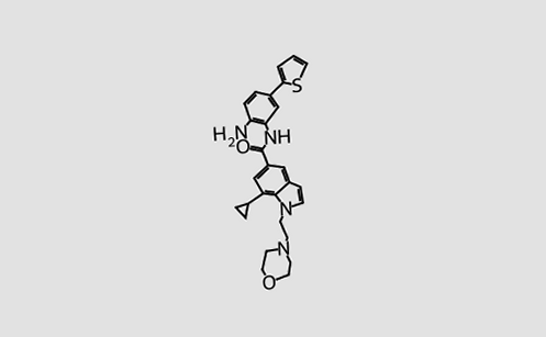 Nc1ccc(-c2cccs2)cc1NC(=O)c1cc(C2CC2)c2c(ccn2CCN2CCOCC2)c1